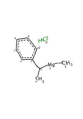 Cl.[CH3][Mg][CH](C)c1ccccc1